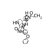 C=CC(=O)N1C[C@@H]2CC[C@H]1CN2C1CCNc2c1nn(-c1ccc(Oc3ccccc3)cc1)c2C(N)=O